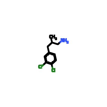 CC(CN)Cc1ccc(Cl)c(Cl)c1